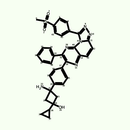 CS(=O)(=O)c1ccc(-c2nnc3ccc4nc(-c5ccc(C6(N)CC(O)(C7CC7)C6)cc5)c(-c5ccccc5)nc4n23)cc1